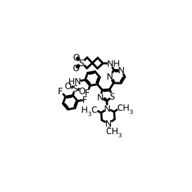 CC1CN(C)CC(C)N1c1nc(-c2cccc(NS(=O)(=O)c3c(F)cccc3F)c2F)c(-c2ccnc(NC3CC4(C3)CS(=O)(=O)C4)n2)s1